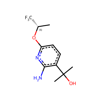 C[C@H](Oc1ccc(C(C)(C)O)c(N)n1)C(F)(F)F